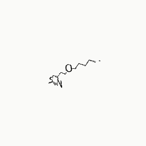 [CH2]CCCCOCCc1cscn1